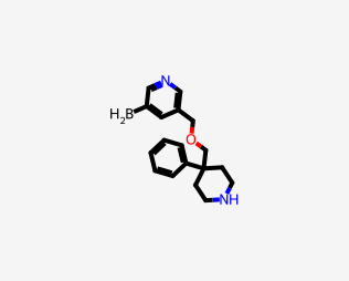 Bc1cncc(COCC2(c3ccccc3)CCNCC2)c1